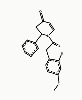 COc1ccc(CC(=O)N2C=CC(=O)CC2c2ccccc2)c(Br)c1